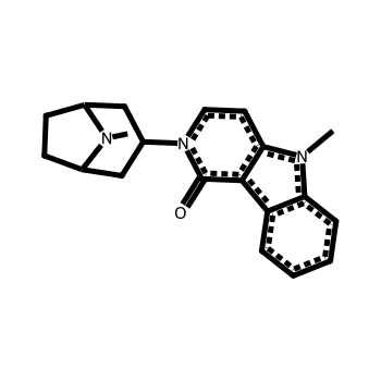 CN1C2CCC1CC(n1ccc3c(c1=O)c1ccccc1n3C)C2